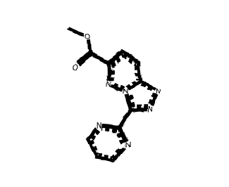 COC(=O)c1ccc2nnc(-c3ncccn3)n2n1